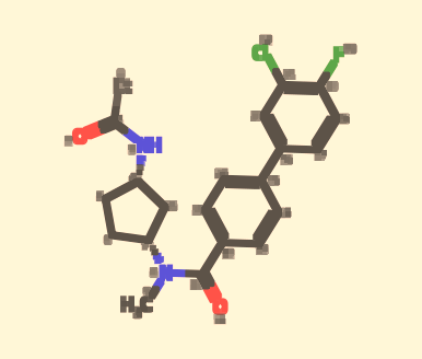 CCC(=O)N[C@H]1CC[C@@H](N(C)C(=O)c2ccc(-c3ccc(F)c(Cl)c3)cc2)C1